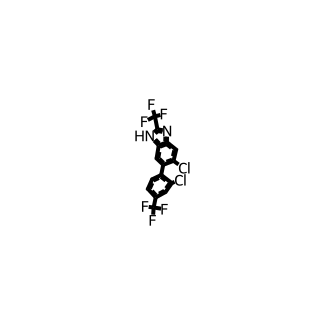 FC(F)(F)c1ccc(-c2cc3[nH]c(C(F)(F)F)nc3cc2Cl)c(Cl)c1